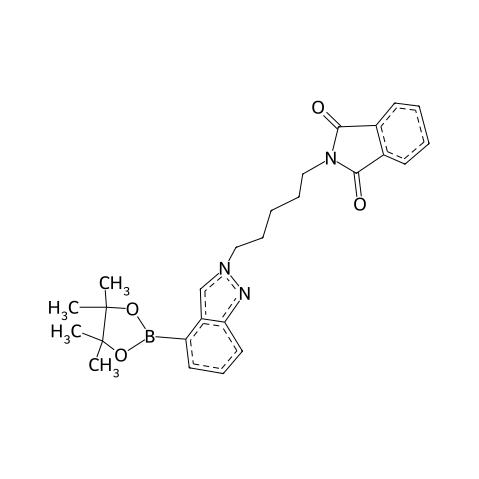 CC1(C)OB(c2cccc3nn(CCCCCN4C(=O)c5ccccc5C4=O)cc23)OC1(C)C